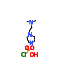 CN(C)CCN1CCN(OP(=O)(O)Cl)CC1